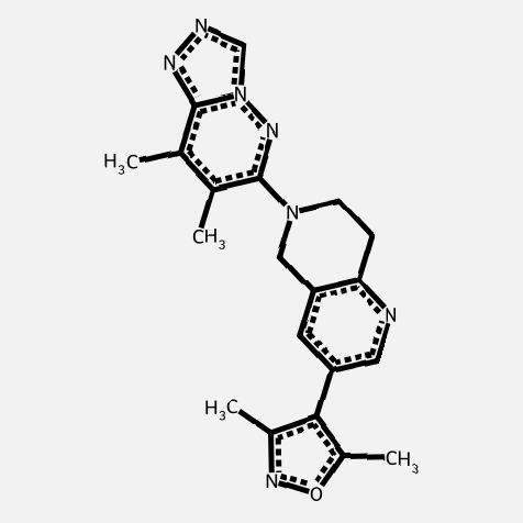 Cc1noc(C)c1-c1cnc2c(c1)CN(c1nn3cnnc3c(C)c1C)CC2